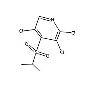 CC(C)S(=O)(=O)c1c(Cl)cnc(Cl)c1Cl